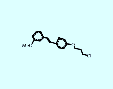 COc1cccc(C=Cc2ccc(OCCCCl)cc2)c1